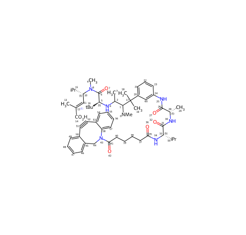 CNC(C(C)N[C@H](C(=O)N(C)[C@H](/C=C(\C)C(=O)O)C(C)C)C(C)(C)C)C(C)(C)c1cccc(NC(=O)[C@H](C)NC(=O)[C@@H](NC(=O)CCCCC(=O)N2Cc3ccccc3C#Cc3ccccc32)C(C)C)c1